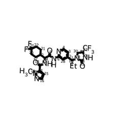 CC[C@H](c1ccnc(NC(=O)[C@@H](NC(=O)c2ccnn2C)C2CCC(F)(F)CC2)c1)N1C[C@@H](C(F)(F)F)NC1=O